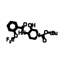 CC(C)(C)OC(=O)N1CCC(NC(=O)c2ccccc2OC(F)(F)F)C(O)C1